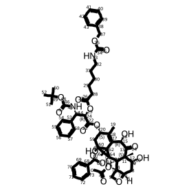 CC(=O)O[C@@]12CO[C@@H]1C[C@H](O)[C@@]1(C)C(=O)[C@H](O)C3=C(C)[C@@H](OC(=O)[C@H](OC(=O)CCCCCNC(=O)OCc4ccccc4)[C@@H](NC(=O)OC(C)(C)C)c4ccccc4)C[C@]4(O)[C@@]3(C)[C@@]4(OC(=O)c3ccccc3)[C@H]21